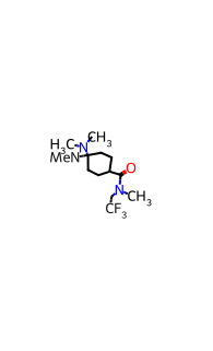 CNC1(N(C)C)CCC(C(=O)N(C)CC(F)(F)F)CC1